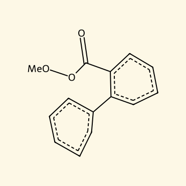 COOC(=O)c1ccccc1-c1ccccc1